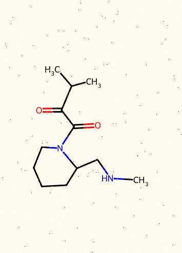 CNCC1CCCCN1C(=O)C(=O)C(C)C